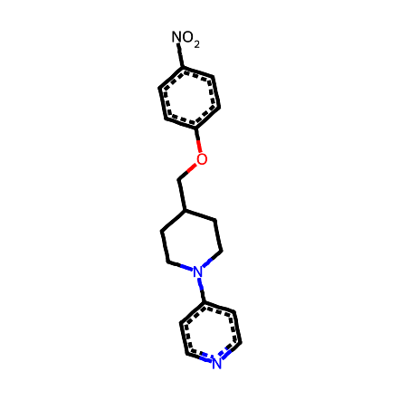 O=[N+]([O-])c1ccc(OCC2CCN(c3ccncc3)CC2)cc1